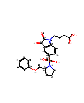 O=C(O)CCCN1C(=O)C(=O)c2cc(S(=O)(=O)N3CCC[C@H]3COc3ccccc3)ccc21